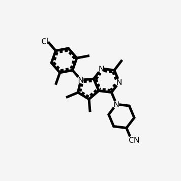 Cc1nc(N2CCC(C#N)CC2)c2c(C)c(C)n(-c3c(C)cc(Cl)cc3C)c2n1